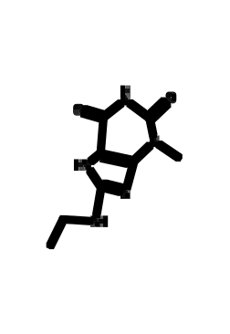 CCNc1nc2c([nH]1)c(=O)[nH]c(=O)n2C